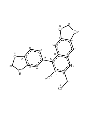 [O-][n+]1c(CCl)nc2cc3c(cc2c1-c1ccc2c(c1)OCO2)OCO3